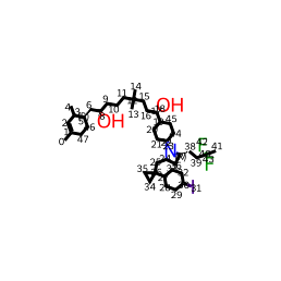 CC1=CC(C)[C@@H](CC(O)CCCC(C)(C)CCC(O)C2CCC(N3C(CC4(C5CCC(I)CC5)CC4)C[C@H]3CCC(C)(F)F)CC2)CC1